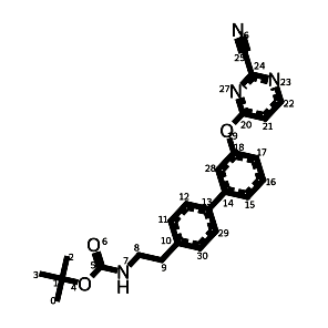 CC(C)(C)OC(=O)NCCc1ccc(-c2cccc(Oc3ccnc(C#N)n3)c2)cc1